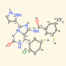 O=C1Cn2c(-c3ccn[nH]3)nc(NC(=O)c3cc(F)cc(C(F)(F)F)c3)c2[C@H](c2cc(F)ccc2Cl)N1